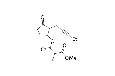 CCC#CCC1C(=O)CCC1OC(=O)C(C)C(=O)OC